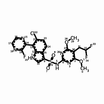 COc1nc(NS(=O)(=O)c2c[nH]c3c(-c4nccnc4F)c(Cl)ccc23)nc(OC)c1CC(F)F